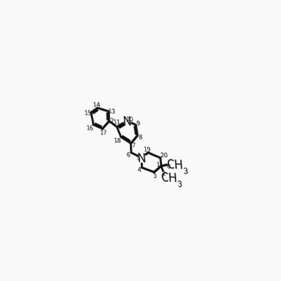 CC1(C)CCN(Cc2ccnc(-c3ccccc3)c2)CC1